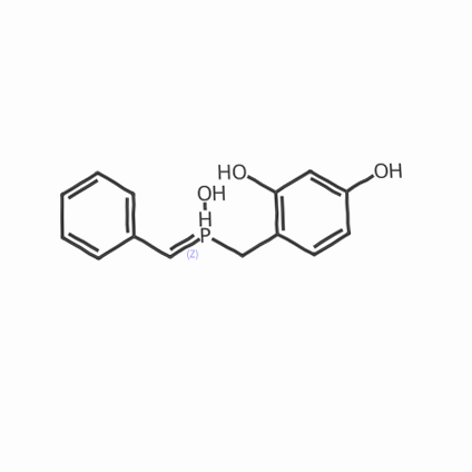 Oc1ccc(C/[PH](O)=C/c2ccccc2)c(O)c1